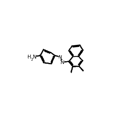 Cc1cc2ccccc2c(N=Nc2ccc(N)cc2)c1C